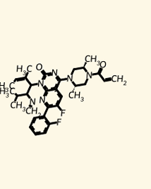 C=CC(=O)N1C[C@H](C)N(c2nc(=O)n(C(/C(C)=C\C)C(N=C)C(C)C)c3nc(-c4ccccc4F)c(F)cc23)C[C@H]1C